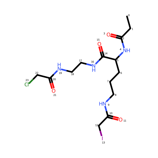 CCC(=O)NC(CCCNC(=O)CI)C(=O)NCCNC(=O)CCl